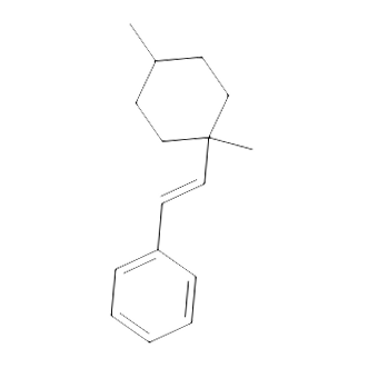 CC1CCC(C)(C=Cc2ccccc2)CC1